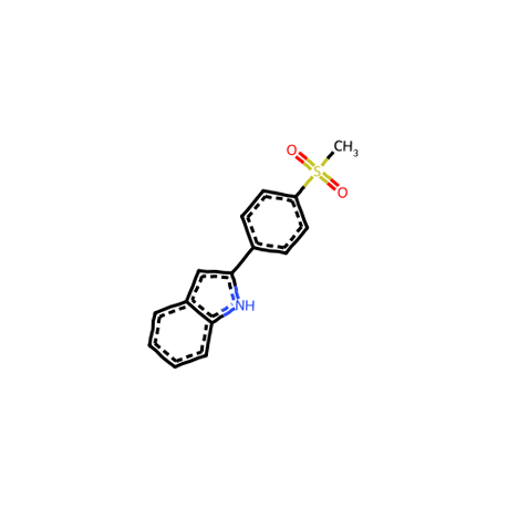 CS(=O)(=O)c1ccc(-c2cc3ccccc3[nH]2)cc1